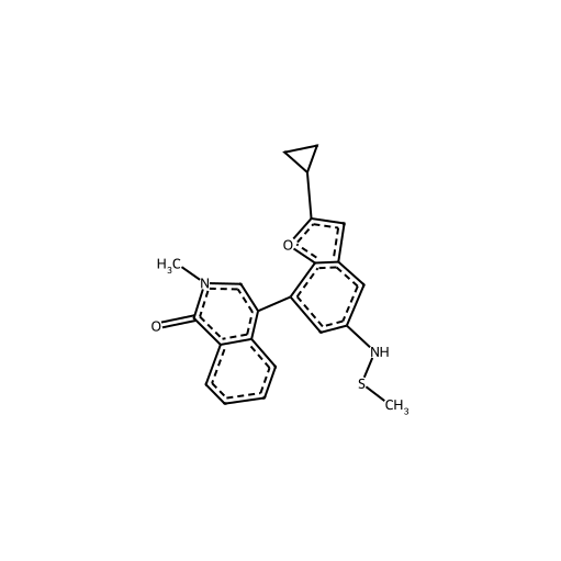 CSNc1cc(-c2cn(C)c(=O)c3ccccc23)c2oc(C3CC3)cc2c1